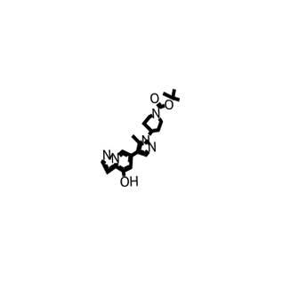 Cc1c(-c2cc(O)c3ccnn3c2)cnn1C1CCN(C(=O)OC(C)(C)C)CC1